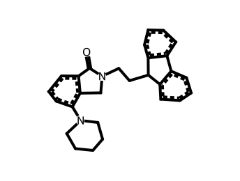 O=C1c2cccc(N3CCCCC3)c2CN1CCC1c2ccccc2-c2ccccc21